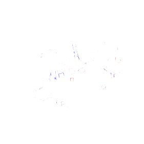 CC1CCOc2c1cc(C(=O)N[C@@H](Cc1ccccc1)[C@@H](O)CNCc1cccc(C(F)(F)F)c1)cc2N1CCCC1=O